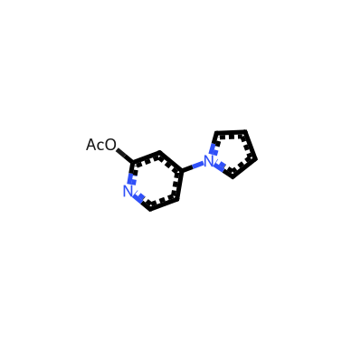 CC(=O)Oc1cc(-n2cccc2)ccn1